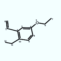 C=[C]c1cc(OCC)ccc1CC